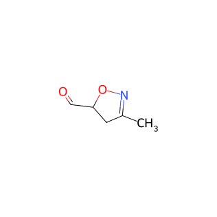 CC1=NOC(C=O)C1